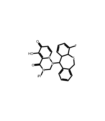 CC(C)N1CN(C2c3ccccc3CSC3C(F)=CC=CC32)n2ccc(=O)c(O)c2C1=O